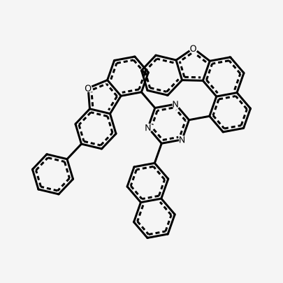 c1ccc(-c2ccc3c(c2)oc2cccc(-c4nc(-c5ccc6ccccc6c5)nc(-c5cccc6ccc7oc8ccccc8c7c56)n4)c23)cc1